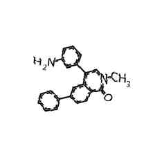 Cn1cc(-c2cccc(N)c2)c2cc(-c3ccccc3)ccc2c1=O